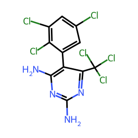 Nc1nc(N)c(-c2cc(Cl)cc(Cl)c2Cl)c(C(Cl)(Cl)Cl)n1